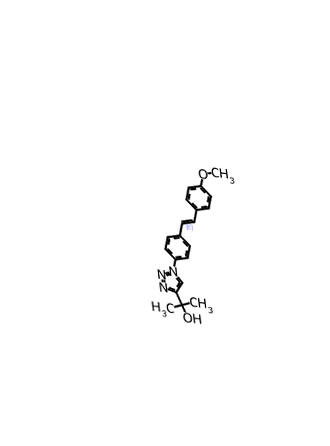 COc1ccc(/C=C/c2ccc(-n3cc(C(C)(C)O)nn3)cc2)cc1